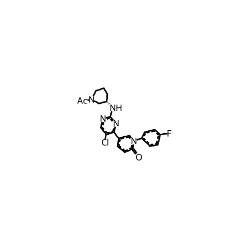 CC(=O)N1CCC[C@H](Nc2ncc(Cl)c(-c3ccc(=O)n(-c4ccc(F)cc4)c3)n2)C1